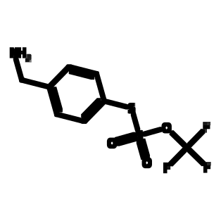 NCc1ccc(SS(=O)(=O)OC(F)(F)F)cc1